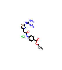 CCOC(=O)c1ccc(NC(=O)Cc2csc(N=C(N)N)n2)cc1.Cl